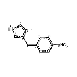 O=[N+]([O-])c1ccc(Cc2c[nH]cn2)cc1